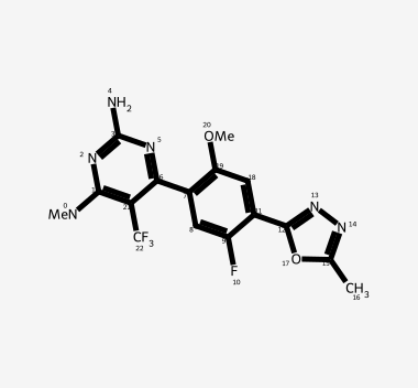 CNc1nc(N)nc(-c2cc(F)c(-c3nnc(C)o3)cc2OC)c1C(F)(F)F